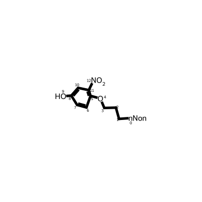 CCCCCCCCCCCCOc1ccc(O)cc1[N+](=O)[O-]